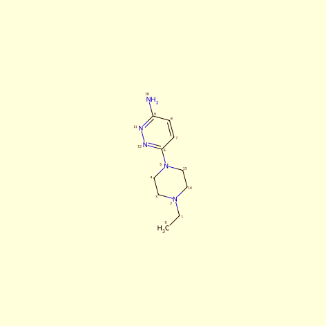 CCN1CCN(c2ccc(N)nn2)CC1